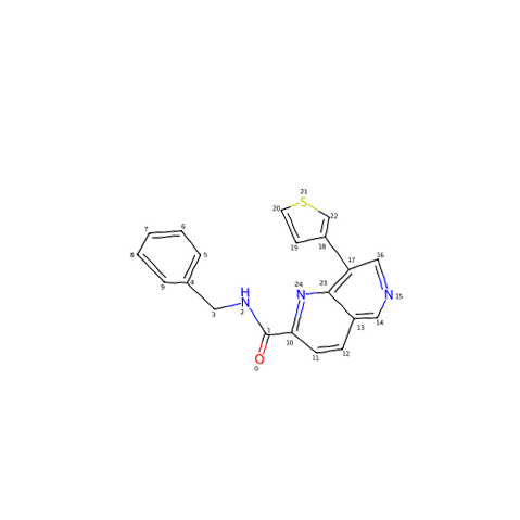 O=C(NCc1ccccc1)c1ccc2cncc(-c3ccsc3)c2n1